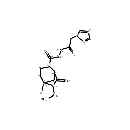 O=C(Cn1cncn1)NNC(=O)[C@@H]1CC[C@@H]2CN1C(=O)N2OS(=O)(=O)O